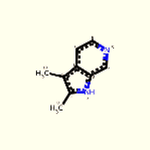 Cc1[nH]c2cnccc2c1C